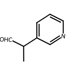 CC(C=O)c1cccnc1